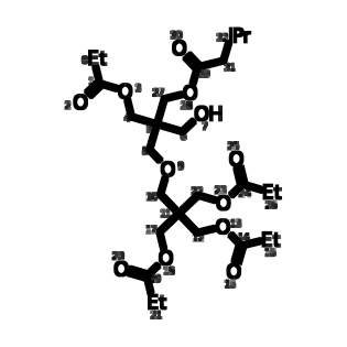 CCC(=O)OCC(CO)(COCC(COC(=O)CC)(COC(=O)CC)COC(=O)CC)COC(=O)CC(C)C